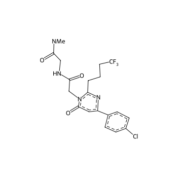 CNC(=O)CNC(=O)Cn1c(CCCC(F)(F)F)nc(-c2ccc(Cl)cc2)cc1=O